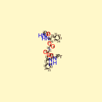 CC(C)NC(=O)N[C@H](COC(=O)/C=C/C(=O)OC[C@H](Cc1ccccc1)NC(=O)NC(C)C)Cc1ccccc1